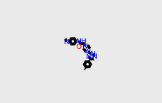 CN(C)[C@H]1CC[C@H](NC(=O)CN2CCN(C3=NC([C@H]4CC[C@H](C)CC4)CN=N3)CC2)CC1